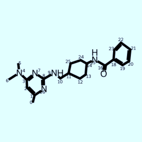 Cc1cc(N(C)C)nc(NCC2CCC(NC(=O)c3ccccc3)CC2)n1